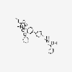 CCCC(=O)NS(=O)(=O)c1ccc(-c2ccc(CCNC[C@@H](O)c3ccccc3)cc2)cc1OC1CCCCC1